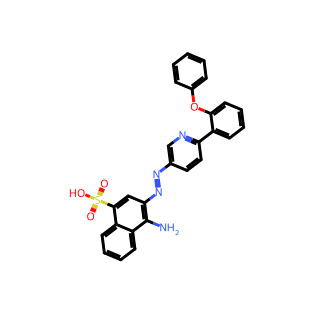 Nc1c(/N=N/c2ccc(-c3ccccc3Oc3ccccc3)nc2)cc(S(=O)(=O)O)c2ccccc12